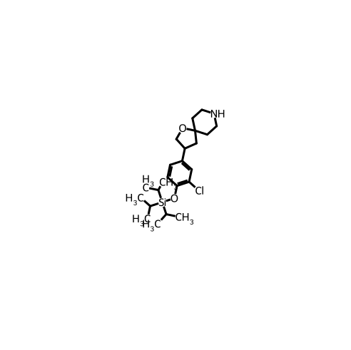 CC(C)[Si](Oc1ccc(C2COC3(CCNCC3)C2)cc1Cl)(C(C)C)C(C)C